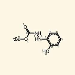 CC(C)(C)OC(=O)NNc1ccccc1O